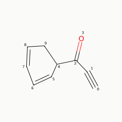 C#CC(=O)C1C=CC=CC1